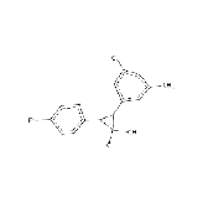 CCc1ccc(C2C(c3cc(C)cc(Cl)c3)C2(C)Cl)cc1